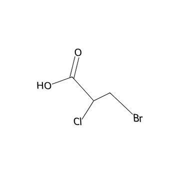 O=C(O)C(Cl)CBr